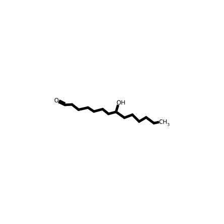 CCCCCCC(O)CCCCCCC=O